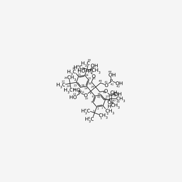 Cc1c(C(C)(C)C)cc(C(OP(O)O)(c2cc(C(C)(C)C)c(C)c(C(C)(C)C)c2)C(COP(O)O)(COP(O)O)COP(O)O)cc1C(C)(C)C